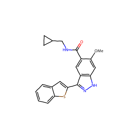 COc1cc2[nH]nc(-c3cc4ccccc4s3)c2cc1C(=O)NCC1CC1